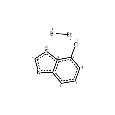 CCBr.Clc1cccc2ncsc12